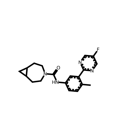 Cc1ccc(NC(=O)N2CCC3CC3CC2)cc1-c1ncc(F)cn1